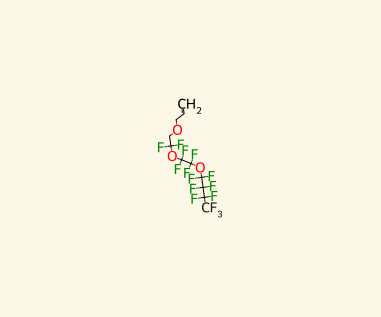 C=CCOCC(F)(F)OC(F)(F)C(F)(F)OC(F)(F)C(F)(F)C(F)(F)C(F)(F)F